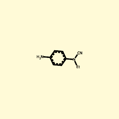 CCN(C#N)c1ccc(N)cc1